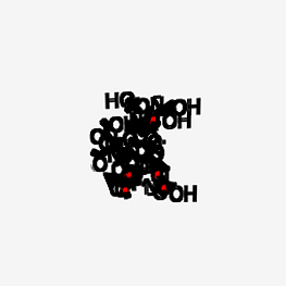 COC(C)C(=O)N1CC(OC2(OC3CN(C(C)=O)C3)N(OC3CN(C(=O)C(C)O)C3)C(OC3CN(CC(C)(C)O)C3)C(OC3CN(CC(C)O)C3)(OC3CN(C(=O)N(C)CCO)C3)C([O])(OC3CN(C(=O)N(C)C)C3)C2(OC2CN(C(=O)CO)C2)OC2CN(C(=O)C3(O)CC3)C2)C1